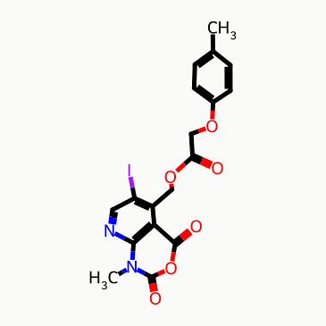 Cc1ccc(OCC(=O)OCc2c(I)cnc3c2c(=O)oc(=O)n3C)cc1